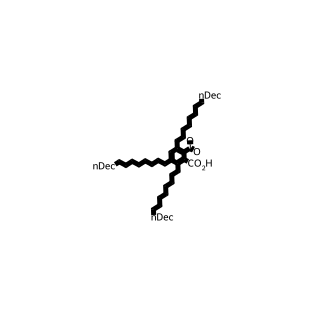 CCCCCCCCCCCCCCCCCCc1cc(CCCCCCCCCCCCCCCCCC)c(I(=O)=O)c(C(=O)O)c1CCCCCCCCCCCCCCCCCC